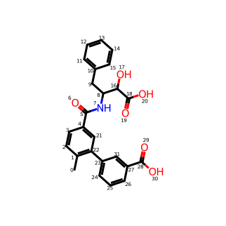 Cc1ccc(C(=O)NC(Cc2ccccc2)C(O)C(=O)O)cc1-c1cccc(C(=O)O)c1